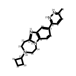 Cc1ccc(-c2ccc3c(c2)nc2n3CCN(C3CCC3)CC2)nn1